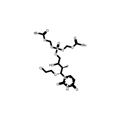 CC(C)(C)C(=O)OCOP(=O)(OCOC(=O)C(C)(C)C)OCC(O)[C@@H](F)[C@@H](OCCCl)n1ccc(=O)[nH]c1=O